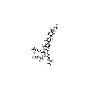 C=C(C)C(=O)OCCCc1cc(-c2ccc(-c3ccc(C4CCC(CCCCC)CC4)cc3F)cc2CC)cc(CCCOC(=O)C(=C)C)c1OCCC(C)CO